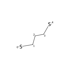 [S]CCC[S]